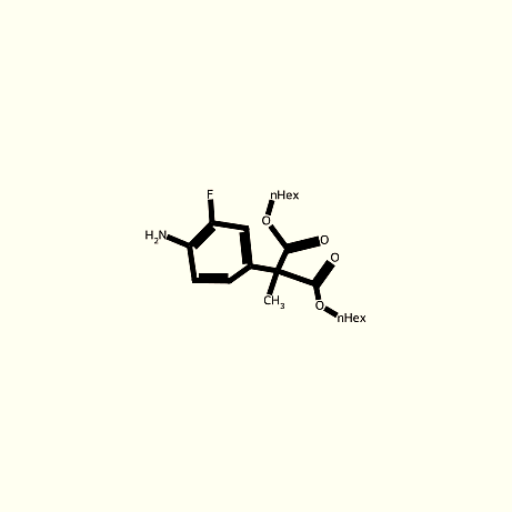 CCCCCCOC(=O)C(C)(C(=O)OCCCCCC)c1ccc(N)c(F)c1